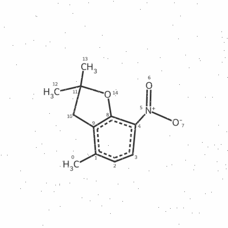 Cc1ccc([N+](=O)[O-])c2c1CC(C)(C)O2